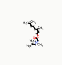 C=CC[N+](C)(C)CC(=O)OCC=C(C)CCC=C(C)C